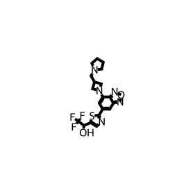 OC(c1cnc(-c2cc(N3CC(CN4CCCC4)C3)c3nonc3c2)s1)C(F)(F)F